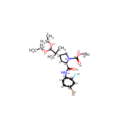 C[SiH2]OC(O[SiH2]C)C(C)(C)[C@H]1C[C@H](C(=O)Nc2ccc(Br)cc2F)N(C(=O)OC(C)(C)C)C1